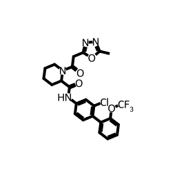 Cc1nnc(CC(=O)N2CCCCC2C(=O)Nc2ccc(-c3ccccc3OC(F)(F)F)c(Cl)c2)o1